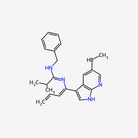 C=C/C=C(\N=C(\NCc1ccccc1)C(C)C)c1c[nH]c2ncc(BC)cc12